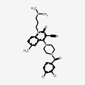 Cc1ccc2c(c1)c(N1CCN(C(=O)c3ccc(Cl)c(Cl)c3)CC1)c(C#N)c(=O)n2CCCN(C)C